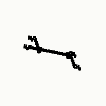 CCCCCCCCCC(C)C(=O)OCCCCCCCCCCCCCCCCCCCOC(=O)C(CCCCCC)CCCCCCCC